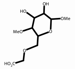 COC1OC(COCC(=O)O)C(OC)C(O)C1O